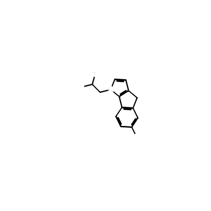 CC(N)Cn1ccc2c1-c1ccc(F)cc1C2